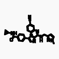 Cn1ccc(CNc2nc3cc(C#N)ccc3n3c(-c4ccc(C(=O)NC5CC5)cc4)cnc23)n1